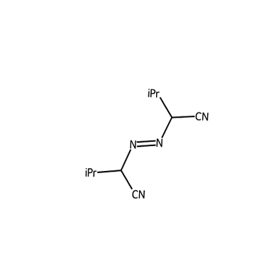 CC(C)C(C#N)N=NC(C#N)C(C)C